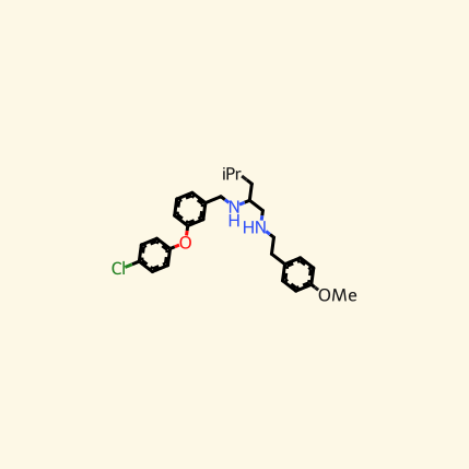 COc1ccc(CCNCC(CC(C)C)NCc2cccc(Oc3ccc(Cl)cc3)c2)cc1